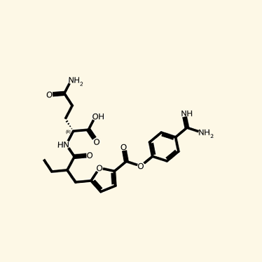 CCC(Cc1ccc(C(=O)Oc2ccc(C(=N)N)cc2)o1)C(=O)N[C@H](CCC(N)=O)C(=O)O